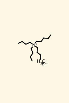 CCCCC[N+](CCCC)(CCCC)CCCC.O.[Br-]